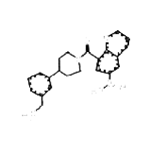 NCc1cccc(C2CCN(C(=O)c3cc(B(O)O)cc4cccnc34)CC2)c1